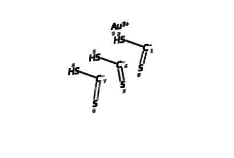 S=[C-]S.S=[C-]S.S=[C-]S.[Au+3]